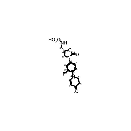 O=C1C=CN(c2ccc(N3C[C@H](CNC(=O)O)OC3=O)cc2F)CC1